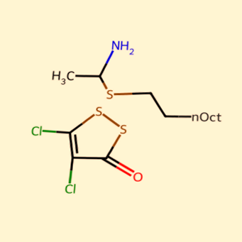 CCCCCCCCCCSC(C)N.O=c1ssc(Cl)c1Cl